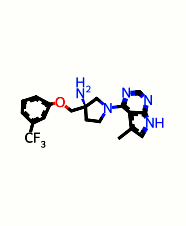 Cc1c[nH]c2ncnc(N3CC[C@](N)(COc4cccc(C(F)(F)F)c4)C3)c12